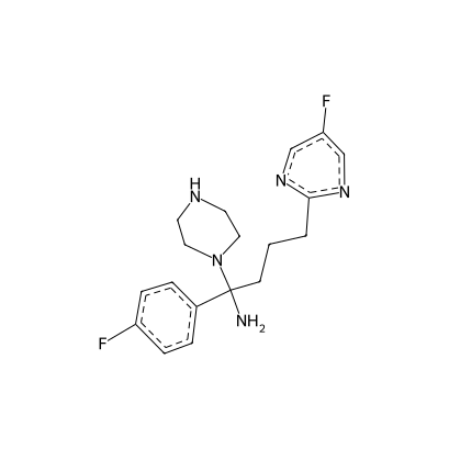 NC(CCCc1ncc(F)cn1)(c1ccc(F)cc1)N1CCNCC1